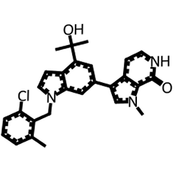 Cc1cccc(Cl)c1Cn1ccc2c(C(C)(C)O)cc(-c3cn(C)c4c(=O)[nH]ccc34)cc21